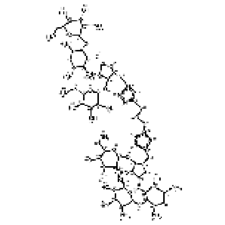 NCC1O[C@H](OC2C(N)C[C@@H](N)C(O)[C@H]2O[C@@H]2O[C@H](Cn3cc(COCn4cc(C[C@H]5O[C@@H](OC6C(O[C@@H]7OC(CN)C(O)[C@H](O)C7N)C(N)C[C@H](N)[C@@H]6O)C(O)C5O[C@@H]5O[C@H](CN)C(O)C(O)C5N)nn4)nn3)C(O[C@H]3O[C@@H](CN)C(O)C(O)C3N)[C@@H]2O)C(N)[C@@H](O)C1O